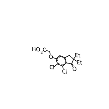 CCC1(CC)Cc2cc(OCC(=O)O)c(Cl)c(Cl)c2C1=O